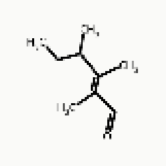 CCC(C)/C(C)=C(\C)C=O